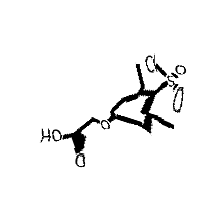 Cc1cc(OCC(=O)O)cc(C)c1S(=O)(=O)Cl